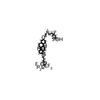 CN(CCOc1ccc2c(c1)CC[C@@H]1[C@@H]2CC[C@]2(C)[C@@H](OCCCOC(C(F)(F)F)(C(F)(F)F)C(F)(F)F)CC[C@@H]12)CCC(C)(C)CC(O)=S